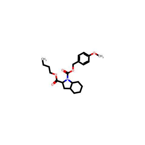 CCCCOC(=O)C1CC2CCCCC2N1C(=O)OCc1ccc(OC)cc1